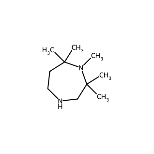 CN1C(C)(C)CCNCC1(C)C